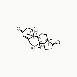 C[C@@H]1CC2=CC(=O)C[C@H](C)[C@]2(C)[C@H]2CC[C@]3(C)C(=O)CC[C@H]3[C@H]12